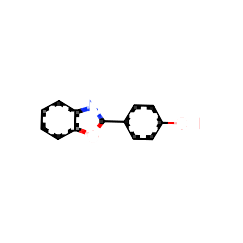 Oc1ccc(-c2nc3ccccc3o2)cc1